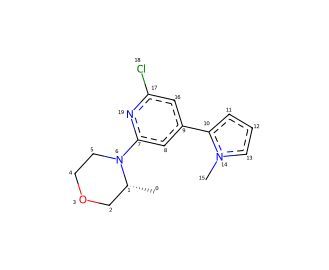 C[C@@H]1COCCN1c1cc(-c2cccn2C)cc(Cl)n1